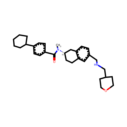 CN(C(=O)c1ccc(C2CCCCC2)cc1)[C@H]1CCc2cc(CNCC3CCOCC3)ccc2C1